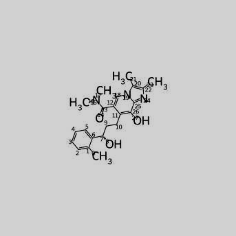 Cc1ccccc1[C@H](O)CCc1c(C(=O)N(C)C)cn2c(C)c(C)nc2c1O